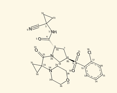 N#CC1(NC(=O)[C@@H]2C[C@@H](S(=O)(=O)c3ccccc3Cl)CN2C(=O)C2(N3CCOCC3)CC2)CC1